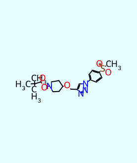 CC(C)(C)C(=O)ON1CCC(OCc2cn(-c3ccc(S(C)(=O)=O)cc3)nn2)CC1